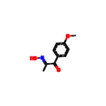 COc1ccc(C(=O)C(C)=NO)cc1